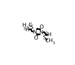 [2H]C(CN1CC(=O)N(CC([2H])SC)CC1=O)SC